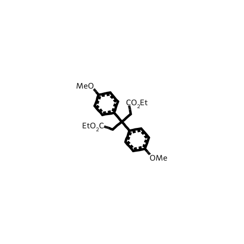 CCOC(=O)CC(CC(=O)OCC)(c1ccc(OC)cc1)c1ccc(OC)cc1